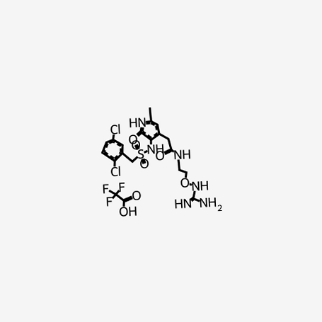 Cc1cc(CC(=O)NCCONC(=N)N)c(NS(=O)(=O)Cc2cc(Cl)ccc2Cl)c(=O)[nH]1.O=C(O)C(F)(F)F